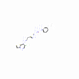 O=C(Nc1cccc(C(F)(F)F)c1)Nc1ncc(CCNc2c(Cl)cnc3ccsc23)s1